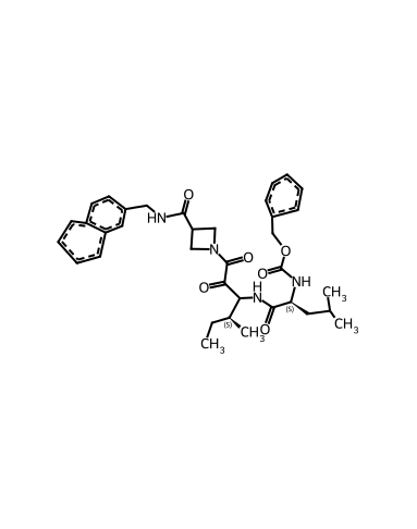 CC[C@H](C)C(NC(=O)[C@H](CC(C)C)NC(=O)OCc1ccccc1)C(=O)C(=O)N1CC(C(=O)NCc2ccc3ccccc3c2)C1